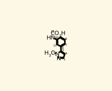 Cn1nccc1-c1cccc(NC(=O)O)c1